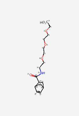 O=C(O)COCCOCCOCCNC(=O)C1CC2C=CC1C2